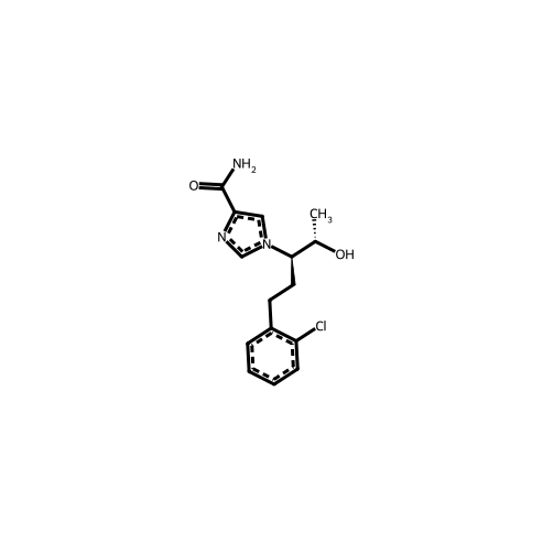 C[C@H](O)[C@@H](CCc1ccccc1Cl)n1cnc(C(N)=O)c1